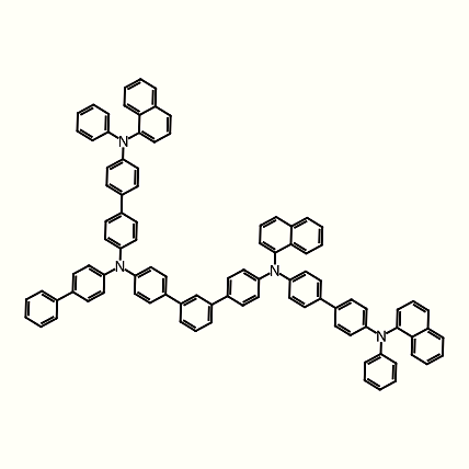 c1ccc(-c2ccc(N(c3ccc(-c4ccc(N(c5ccccc5)c5cccc6ccccc56)cc4)cc3)c3ccc(-c4cccc(-c5ccc(N(c6ccc(-c7ccc(N(c8ccccc8)c8cccc9ccccc89)cc7)cc6)c6cccc7ccccc67)cc5)c4)cc3)cc2)cc1